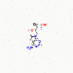 CC[C@@H](CO)[C@@H](O)Cn1ccc2c(N)ncnc21